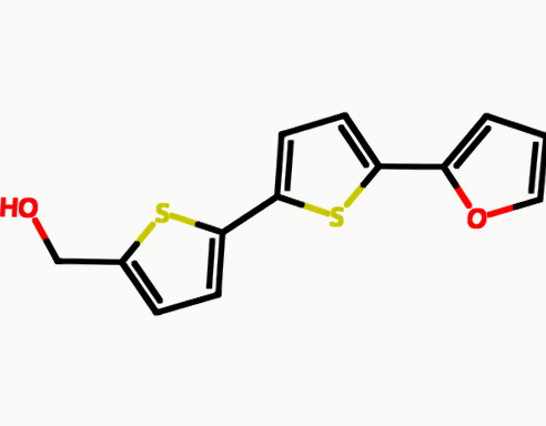 OCc1ccc(-c2ccc(-c3ccco3)s2)s1